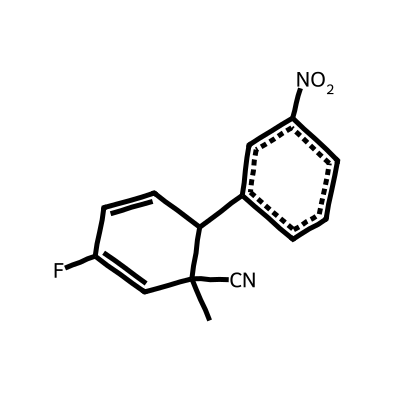 CC1(C#N)C=C(F)C=CC1c1cccc([N+](=O)[O-])c1